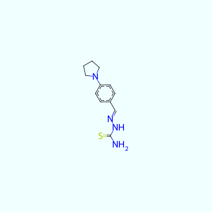 NC(=S)NN=Cc1ccc(N2CCCC2)cc1